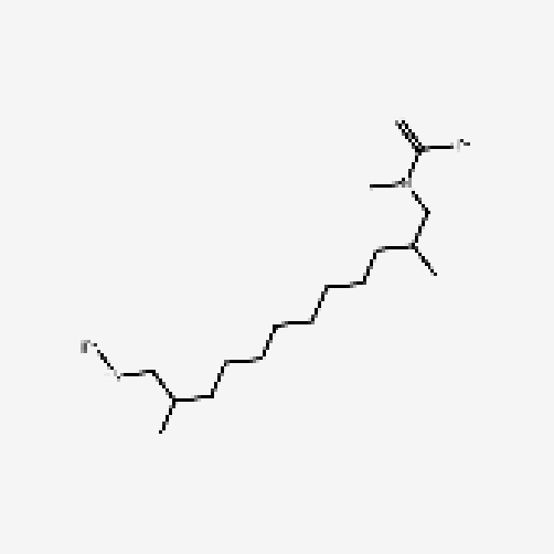 C=C(C(C)C)N(C)CC(C)CCCCCCCCC(C)CNC(C)C